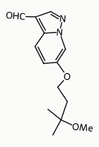 COC(C)(C)CCOc1ccc2c(C=O)cnn2c1